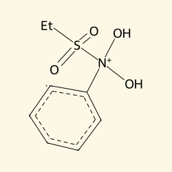 CCS(=O)(=O)[N+](O)(O)c1[c]cccc1